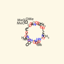 CCCC[C@H]1C(=O)N[C@@H](Cc2ccc3ccccc3c2)C(=O)N(C)[C@@H](COC(C)(C)C)C(=O)NCC(=O)N(C)CC/C=C/C(=O)OCC(C)(C)C(=O)C(=O)N2CCCC[C@H]2C(=O)O[C@H](CCc2cc(OC)c(OC)c(OC)c2)c2cccc(c2)OCC(=O)N1C